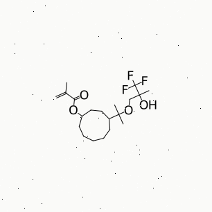 C=C(C)C(=O)OC1CCCCCC(C(C)(C)OCC(C)(O)C(F)(F)F)CC1